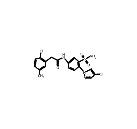 Cc1ccc(Cl)c(CC(=O)Nc2ccc(-n3cc(Cl)cn3)c(S(N)(=O)=O)c2)c1